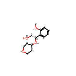 COc1ccccc1[C@@H](CO)OC1CCOCC1